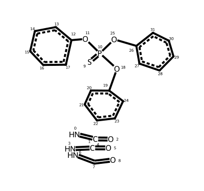 N=C=O.N=C=O.N=C=O.S=P(Oc1ccccc1)(Oc1ccccc1)Oc1ccccc1